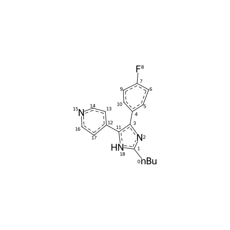 CCCCc1nc(-c2ccc(F)cc2)c(-c2ccncc2)[nH]1